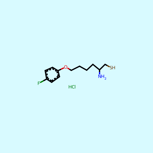 Cl.NC(CS)CCCCOc1ccc(F)cc1